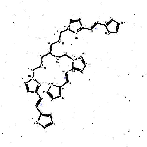 C(=C\c1cccs1)/c1ccn(COCC(COCn2ccc(/C=C/c3cccs3)n2)OCn2nccc2/C=C/c2cccs2)n1